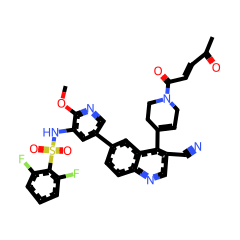 COc1ncc(-c2ccc3ncc(C#N)c(C4=CCN(C(=O)C=CC(C)=O)CC4)c3c2)cc1NS(=O)(=O)c1c(F)cccc1F